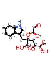 O=CC(=O)OC(CC(=O)C(=O)O)(Cc1c[nH]c2ccccc12)C(=O)O